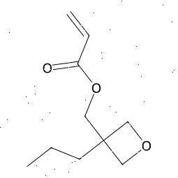 C=CC(=O)OCC1(CCC)COC1